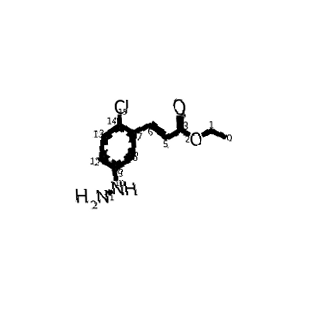 CCOC(=O)/C=C/c1cc(NN)ccc1Cl